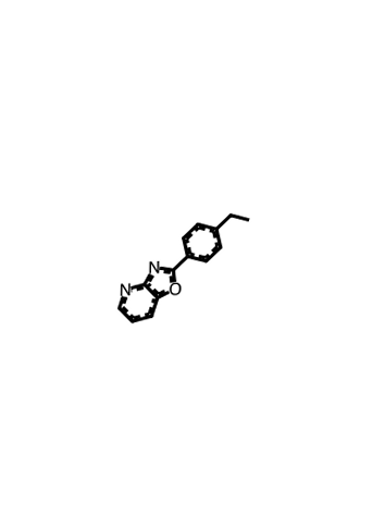 CCc1ccc(-c2nc3ncccc3o2)cc1